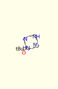 CC(C)(C)C(=O)c1cc2cc3nc(cc4ccc(cc5nc(cc1[nH]2)C=C5)[nH]4)C=C3